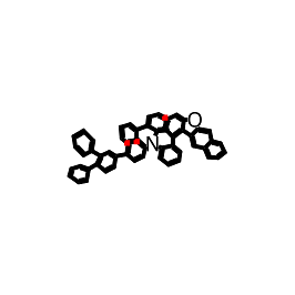 c1ccc(-c2ccc(-c3ccc(N(c4ccccc4-c4ccccc4)c4ccccc4-c4cccc5oc6cc7ccccc7cc6c45)cc3)cc2-c2ccccc2)cc1